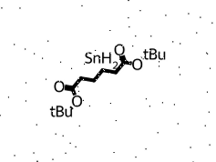 CC(C)(C)OC(=O)CCCCC(=O)OC(C)(C)C.[SnH2]